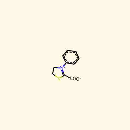 O=C([O-])C1=[N+](c2ccccc2)CCS1